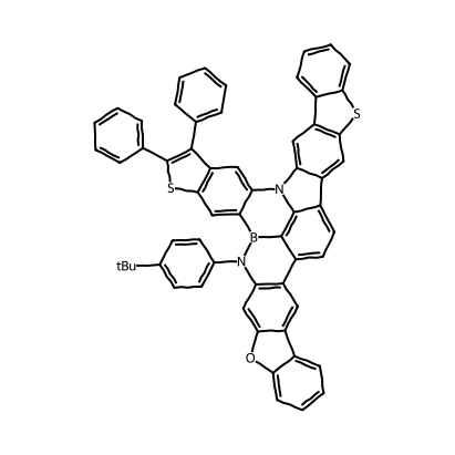 CC(C)(C)c1ccc(N2B3c4cc5sc(-c6ccccc6)c(-c6ccccc6)c5cc4-n4c5cc6c(cc5c5ccc(c3c54)-c3cc4c(cc32)oc2ccccc24)sc2ccccc26)cc1